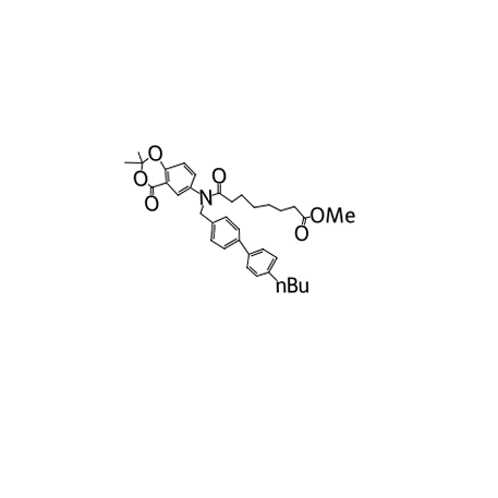 CCCCc1ccc(-c2ccc(CN(C(=O)CCCCCCC(=O)OC)c3ccc4c(c3)C(=O)OC(C)(C)O4)cc2)cc1